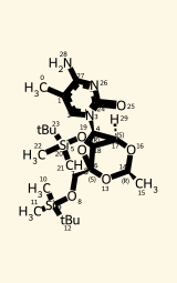 Cc1cn([C@@H]2O[C@@]3(CO[Si](C)(C)C(C)(C)C)O[C@H](C)O[C@H]2C3O[Si](C)(C)C(C)(C)C)c(=O)nc1N